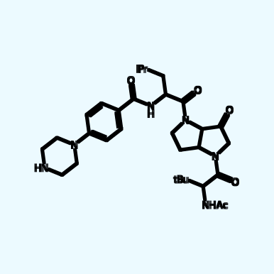 CC(=O)NC(C(=O)N1CC(=O)C2C1CCN2C(=O)C(CC(C)C)NC(=O)c1ccc(N2CCNCC2)cc1)C(C)(C)C